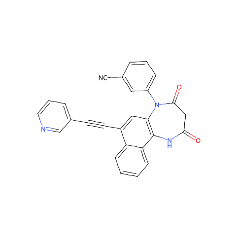 N#Cc1cccc(N2C(=O)CC(=O)Nc3c2cc(C#Cc2cccnc2)c2ccccc32)c1